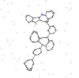 c1ccc(-c2ccc(-c3c4ccccc4c(-c4cccc(-c5c6ccccc6nc6c5sc5ccccc56)c4)c4ccccc34)cc2)cc1